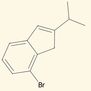 CC(C)C1=Cc2cccc(Br)c2C1